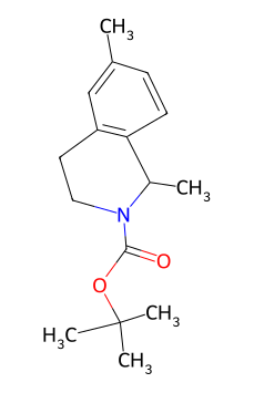 Cc1ccc2c(c1)CCN(C(=O)OC(C)(C)C)C2C